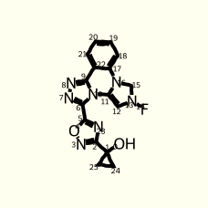 OC1(c2noc(-c3nnc4n3C3=CN(F)CN3c3ccccc3-4)n2)CC1